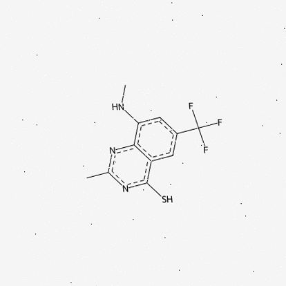 CNc1cc(C(F)(F)F)cc2c(S)nc(C)nc12